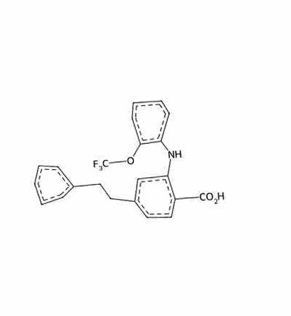 O=C(O)c1ccc(CCc2ccccc2)cc1Nc1ccccc1OC(F)(F)F